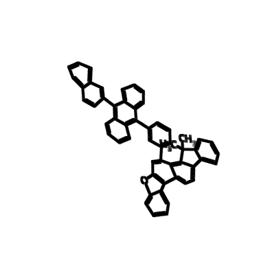 CC1(C)c2ccccc2-c2ccc3c(c(-c4cccc(-c5c6ccccc6c(-c6ccc7ccccc7c6)c6ccccc56)c4)cc4oc5ccccc5c43)c21